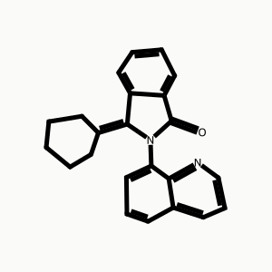 O=C1c2ccccc2C(=C2CCCCC2)N1c1cccc2cccnc12